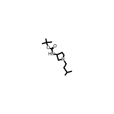 CC(C)CCN1CCC(NC(=O)OC(C)(C)C)C1